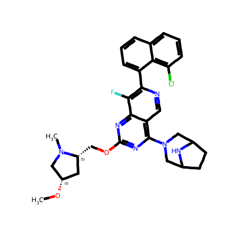 CO[C@H]1C[C@@H](COc2nc(N3CC4CCC(C3)N4)c3cnc(-c4cccc5cccc(Cl)c45)c(F)c3n2)N(C)C1